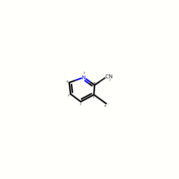 [CH2]c1cccnc1C#N